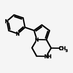 CC1NCCn2c(-c3ccncn3)ccc21